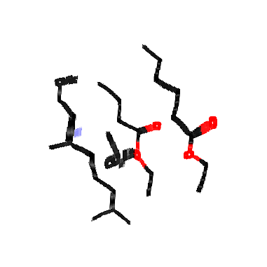 CC(=O)OC/C=C(\C)CCC=C(C)C.CCCC(=O)OCC.CCCCCC(=O)OCC.CCOC(C)=O